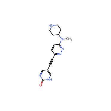 CN(c1ccc(C#Cc2cnc(=O)[nH]c2)nn1)C1CCNCC1